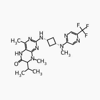 Cc1nc(N[C@H]2C[C@@H](N(C)c3cnc(C(F)(F)F)cn3)C2)nc2c1NC(=O)C(C(C)C)N2C